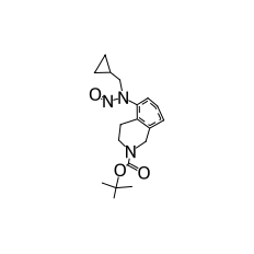 CC(C)(C)OC(=O)N1CCc2c(cccc2N(CC2CC2)N=O)C1